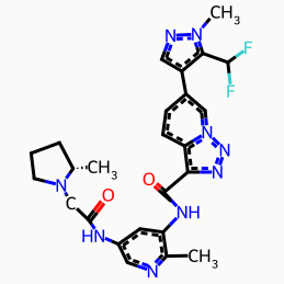 Cc1ncc(NC(=O)CN2CCC[C@@H]2C)cc1NC(=O)c1nnn2cc(-c3cnn(C)c3C(F)F)ccc12